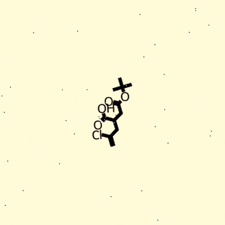 C=C(Cl)CC(CC(=O)OC(C)(C)C)C(=O)O